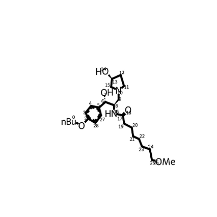 CCCCOc1ccc([C@H](O)[C@@H](CN2CC[C@H](O)C2)NC(=O)CCCCCCCOC)cc1